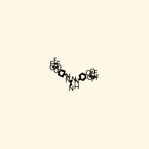 N#CC(N=Nc1ccc(OS(=O)(=O)C(F)(F)F)cc1)=NNc1ccc(OS(=O)(=O)C(F)(F)F)cc1